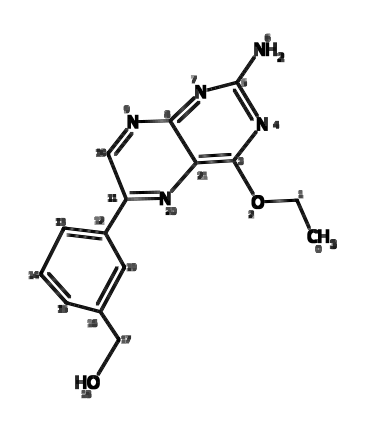 CCOc1nc(N)nc2ncc(-c3cccc(CO)c3)nc12